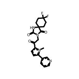 Cn1c(C(=O)CN2C(=O)NC3(CCC(F)(F)CC3)C2=O)ccc1-c1cccnc1